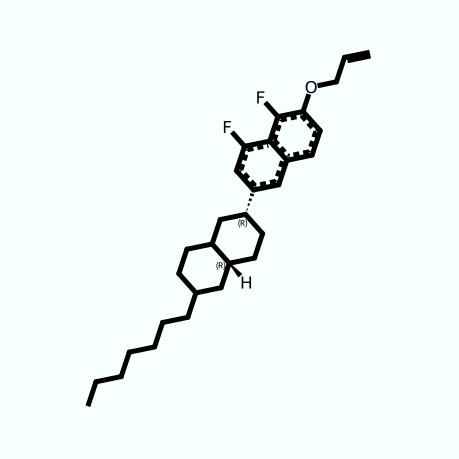 C=CCOc1ccc2cc([C@@H]3CC[C@@H]4CC(CCCCCCC)CCC4C3)cc(F)c2c1F